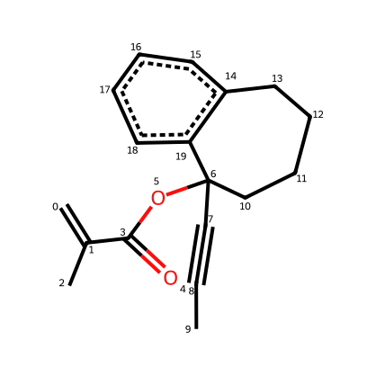 C=C(C)C(=O)OC1(C#CC)CCCCc2ccccc21